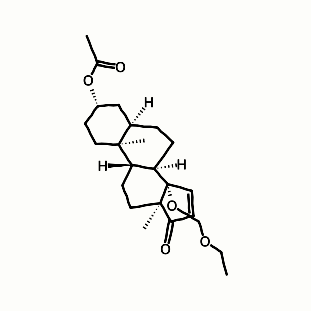 CCOCO[C@]12C=CC(=O)[C@@]1(C)CC[C@H]1[C@H]2CC[C@@H]2C[C@@H](OC(C)=O)CC[C@@]21C